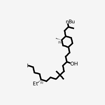 CCCCC(C)CC1CCC(CCC(O)CCC(C)(C)CCC[C@H](CC)CCCI)C[C@@H]1C